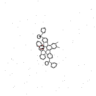 Cc1cc2c3c(c4c(c2cc1C)-c1ccc(C(=O)c2ccccc2)cc1C41c2ccccc2-c2ccccc21)C1(c2ccccc2-c2ccccc21)c1cc(C(=O)c2ccccc2)ccc1-3